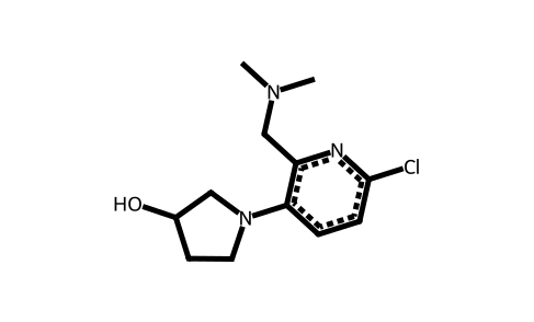 CN(C)Cc1nc(Cl)ccc1N1CCC(O)C1